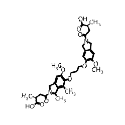 COc1cc2c(cc1OCCCOc1c(OC)cc3c(c1C)C(C)N(C(=O)C[C@H](C)C(=O)O)C3)CN(C(=O)C[C@H](C)C(=O)O)C2